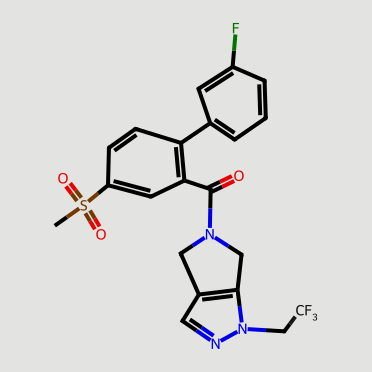 CS(=O)(=O)c1ccc(-c2cccc(F)c2)c(C(=O)N2Cc3cnn(CC(F)(F)F)c3C2)c1